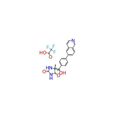 C[C@]1([C@H](O)c2ccc(-c3ccc4cnccc4c3)cc2)NC(=O)NC1=O.O=C(O)C(F)(F)F